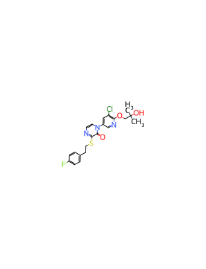 CC(C)(O)COc1ncc(-n2ccnc(SCCc3ccc(F)cc3)c2=O)cc1Cl